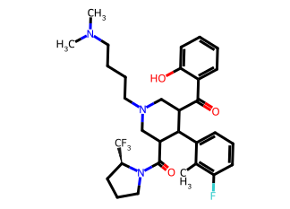 Cc1c(F)cccc1C1C(C(=O)c2ccccc2O)CN(CCCCN(C)C)CC1C(=O)N1CCC[C@H]1C(F)(F)F